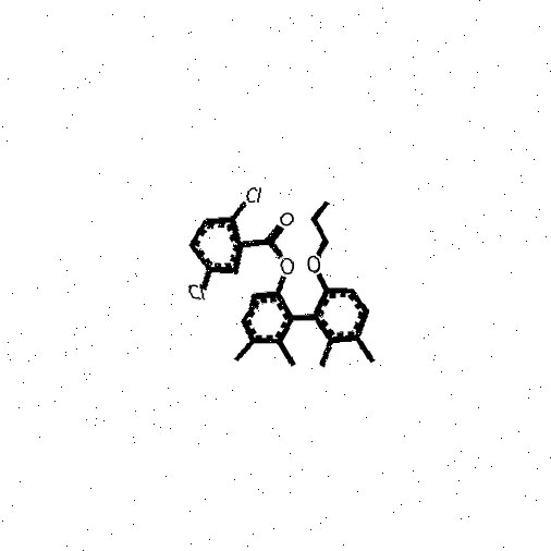 CCCOc1ccc(C)c(C)c1-c1c(OC(=O)c2cc(Cl)ccc2Cl)ccc(C)c1C